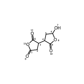 O=C1CC(C2CC(O)OC2=O)C(=O)O1